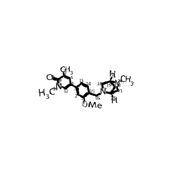 COc1cc(-c2cc(C)c(=O)n(C)c2)ccc1CN1C[C@H]2C[C@@H]1CN2C